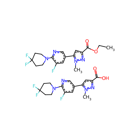 CCOC(=O)c1cc(-c2cnc(N3CCC(F)(F)CC3)c(F)c2)n(C)n1.Cn1nc(C(=O)O)cc1-c1cnc(N2CCC(F)(F)CC2)c(F)c1